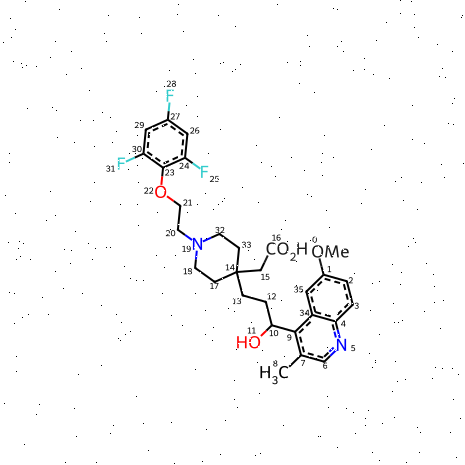 COc1ccc2ncc(C)c(C(O)CCC3(CC(=O)O)CCN(CCOc4c(F)cc(F)cc4F)CC3)c2c1